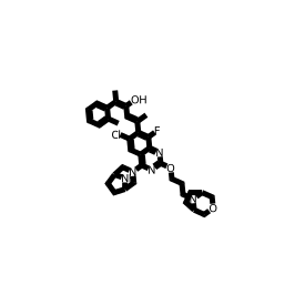 C/C(=C\C(O)=C(\C)c1ccccc1C)c1c(Cl)cc2c(N3CC4CCC(C3)N4)nc(OCCCN3C4CCC3COC4)nc2c1F